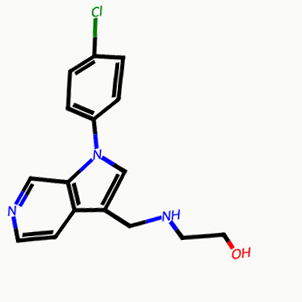 OCCNCc1cn(-c2ccc(Cl)cc2)c2cnccc12